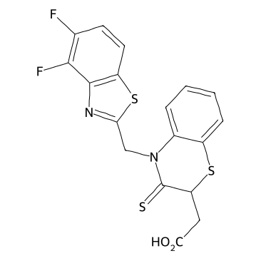 O=C(O)CC1Sc2ccccc2N(Cc2nc3c(F)c(F)ccc3s2)C1=S